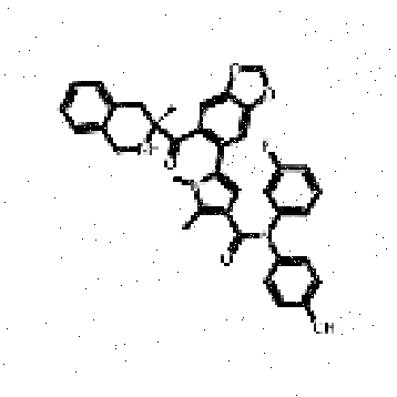 Cc1c(C(=O)N(c2ccc(O)cc2)c2cccc(F)c2)cc(-c2cc3c(cc2C(=O)[C@@]2(C)Cc4ccccc4CN2)OCO3)n1C